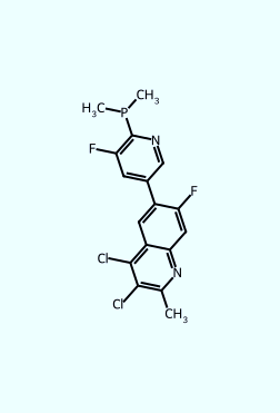 Cc1nc2cc(F)c(-c3cnc(P(C)C)c(F)c3)cc2c(Cl)c1Cl